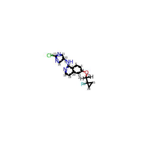 [2H]C([2H])(Oc1ccc2c(Nc3cnc(Cl)nc3)nccc2c1)C1(F)CC1